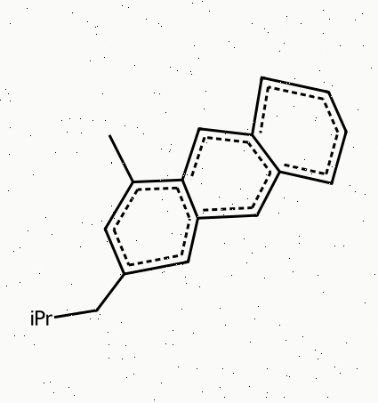 Cc1cc(CC(C)C)cc2cc3ccccc3cc12